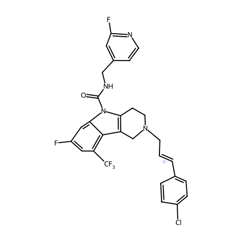 O=C(NCc1ccnc(F)c1)n1c2c(c3c(C(F)(F)F)cc(F)cc31)CN(C/C=C/c1ccc(Cl)cc1)CC2